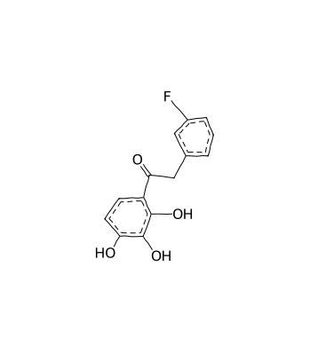 O=C(Cc1cccc(F)c1)c1ccc(O)c(O)c1O